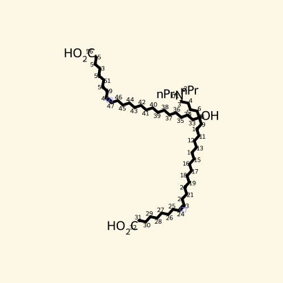 CCCN(CCC)CCCCC(O)(CCCCCCCCCCCCCC/C=C\CCCCCCCC(=O)O)CCCCCCCCCCCCCC/C=C\CCCCCCCC(=O)O